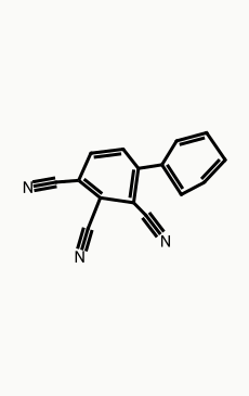 N#Cc1ccc(-c2ccccc2)c(C#N)c1C#N